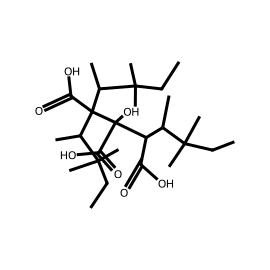 CCC(C)(C)C(C)C(C(=O)O)C(O)(C(=O)O)C(C(=O)O)(C(C)C(C)(C)CC)C(C)C(C)(C)CC